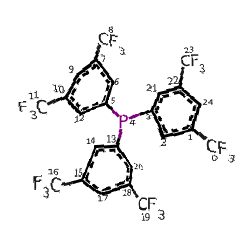 FC(F)(F)c1cc(P(c2cc(C(F)(F)F)cc(C(F)(F)F)c2)c2cc(C(F)(F)F)cc(C(F)(F)F)c2)cc(C(F)(F)F)c1